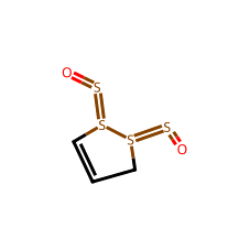 O=S=S1C=CCS1=S=O